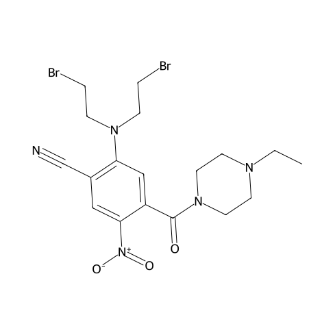 CCN1CCN(C(=O)c2cc(N(CCBr)CCBr)c(C#N)cc2[N+](=O)[O-])CC1